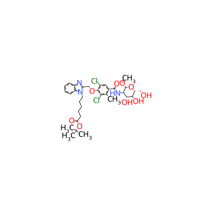 CO[C@H]1O[C@H](CO)[C@@H](O)[C@H](O)[C@H]1NC(=O)c1cc(Cl)c(OCc2nc3ccccc3n2CCCCCC(=O)OC(C)(C)C)c(Cl)c1C